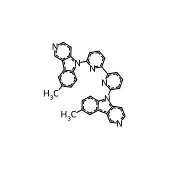 Cc1ccc2c(c1)c1cnccc1n2-c1cccc(-c2cccc(-n3c4ccncc4c4cc(C)ccc43)n2)n1